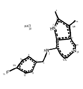 Cc1[nH]c2c(NCc3ccc(F)cc3)cncc2c1C.Cl